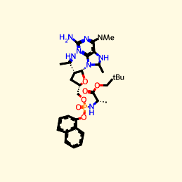 CNc1nc(N)nc2c1NC(C)N2[C@@H]1O[C@H](CO[P@@](=O)(N[C@@H](C)C(=O)OCC(C)(C)C)Oc2cccc3ccccc23)C[C@@H]1C(C)=N